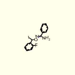 N/C(=N\OC(I)c1ccccc1F)c1ccccc1